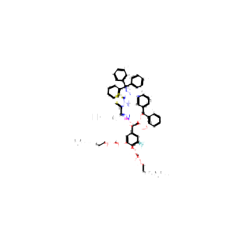 COCCOCOc1cc(C(O/N=C(\C(=O)O)c2csc(NC(c3ccccc3)(c3ccccc3)c3ccccc3)n2)C(=O)OC(c2ccccc2)c2ccccc2)cc(F)c1OCOCCOC